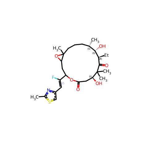 CC[C@H]1C(=O)C(C)(C)[C@@H](O)CC(=O)OC(/C(F)=C/c2csc(C)n2)CC2OC2(C)CCC[C@H](C)[C@@H]1O